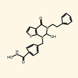 O=C(NO)c1ccc(CN2c3sccc3C(=O)N(CCc3ccccc3)C2O)cc1